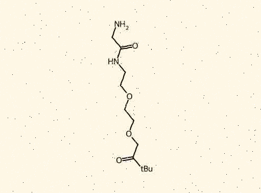 CC(C)(C)C(=O)COCCOCCNC(=O)CN